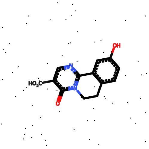 O=C(O)c1cnc2n(c1=O)CCc1ccc(O)cc1-2